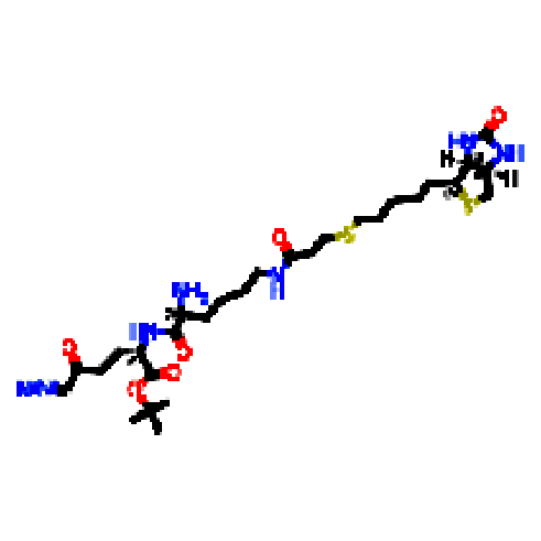 CC(C)(C)OC(=O)[C@H](CCC(=O)C=[N+]=[N-])NC(=O)[C@@H](N)CCCCNC(=O)CCSCCCCC[C@@H]1SC[C@@H]2NC(=O)N[C@@H]21